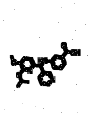 COc1ccc(C(Nc2cccc(C(=O)O)c2)c2cccnc2)nc1OC(C)C